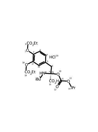 CCOC(=O)Oc1ccc(C[C@](NC(C)CC)(OC(=O)OC(C)C)C(=O)O)cc1OC(=O)OCC.Cl